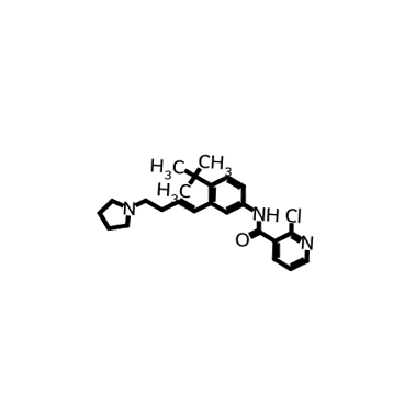 CC(C)(C)c1ccc(NC(=O)c2cccnc2Cl)cc1/C=C/CCN1CCCC1